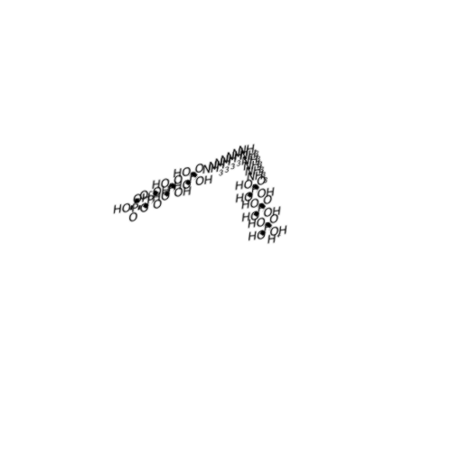 N.N.N.N.N.N.N.N.N.N.N.N.O=P(O)(O)O.O=P(O)(O)O.O=P(O)(O)O.O=P(O)(O)O.O=P(O)(O)O.O=P([O-])(O)OP(=O)(O)O.[H+]